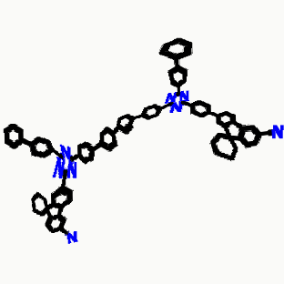 N#Cc1ccc2c(c1)-c1ccc(-c3ccc(-c4nc(-c5ccc(-c6ccccc6)cc5)nc(-c5ccc(-c6ccc(-c7ccc(-c8ccc(-c9nc(-c%10ccc(-c%11ccccc%11)cc%10)nc(-c%10ccc%11c(c%10)C%10(CCCCC%10)c%10ccc(C#N)cc%10-%11)n9)cc8)cc7)cc6)cc5)n4)cc3)cc1C21CCCCC1